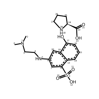 CN(C)CCNc1cc(S(=O)(=O)O)c2cccc(O)c2c1.O=C(O)[C@@H]1CCCN1